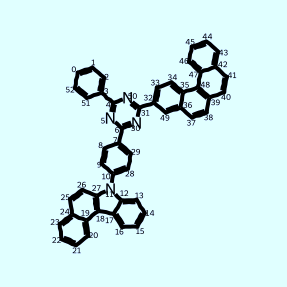 c1ccc(-c2nc(-c3ccc(-n4c5ccccc5c5c6ccccc6ccc54)cc3)nc(-c3ccc4c(ccc5ccc6ccccc6c54)c3)n2)cc1